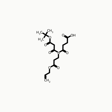 C=CCOC(=O)CCN(C(=O)CCC(=O)O)C(=O)CC(=O)OC(C)(C)C